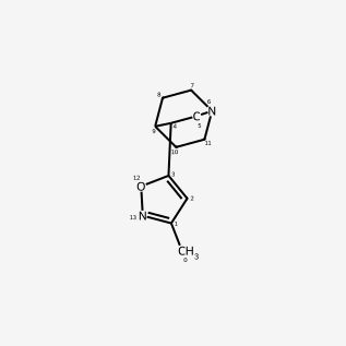 Cc1cc(C2CN3CCC2CC3)on1